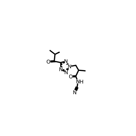 CC(C)C(=O)c1nnn(CC(C)C(=O)NC#N)n1